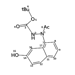 CC(=O)N(NC(=O)OC(C)(C)C)c1cccc2ccc(O)cc12